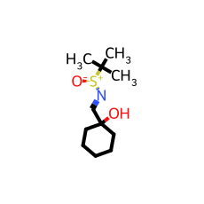 CC(C)(C)[S@+]([O-])/N=C/C1(O)CCCCC1